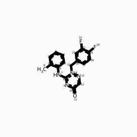 Cc1ccccc1Nc1nc(=O)cnn1Cc1ccc(F)c(F)c1